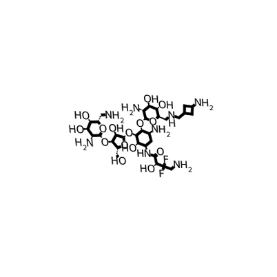 NC[C@@H]1O[C@H](O[C@H]2[C@@H](O)[C@H](O[C@@H]3[C@@H](O)[C@H](NC(=O)[C@@H](O)C(F)(F)CN)C[C@H](N)[C@H]3O[C@H]3O[C@H](CNCC4CC(N)C4)[C@@H](O)[C@H](O)[C@H]3N)O[C@@H]2CO)[C@H](N)[C@@H](O)[C@@H]1O